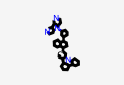 c1cc(-c2ccc(-c3ccc4c5cccc6c7ccccc7n(c4c3)c65)c3ccccc23)cc(-n2c3ccncc3c3cnccc32)c1